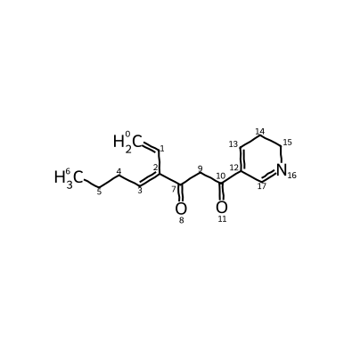 C=C/C(=C\CCC)C(=O)CC(=O)C1=CCCN=C1